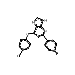 Fc1ccc(-c2nc(Oc3ccc(Cl)cc3)c3nc[nH]c3n2)cc1